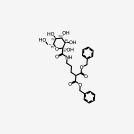 O=C(OCc1ccccc1)C(CCCNC(=O)[C@@]1(O)O[C@H](CO)[C@@H](O)[C@H](O)[C@H]1O)C(=O)OCc1ccccc1